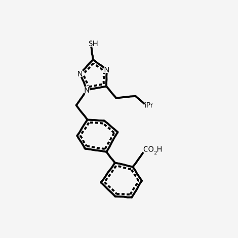 CC(C)CCc1nc(S)nn1Cc1ccc(-c2ccccc2C(=O)O)cc1